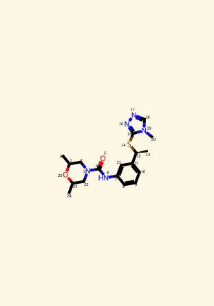 CC1CN(C(=O)Nc2cccc([C@H](C)Sc3nncn3C)c2)CC(C)O1